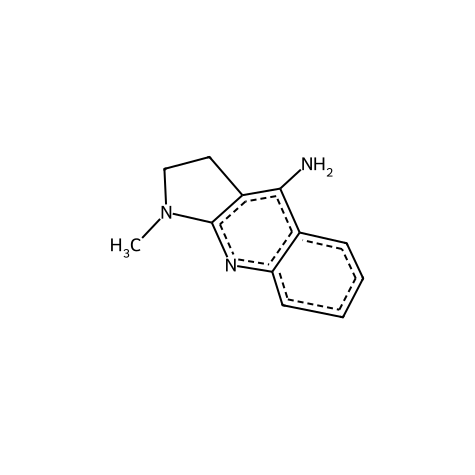 CN1CCc2c1nc1ccccc1c2N